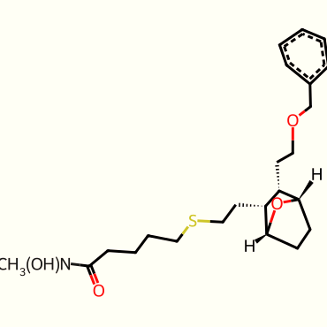 CN(O)C(=O)CCCCSCC[C@@H]1[C@H](CCOCc2ccccc2)[C@@H]2CC[C@H]1O2